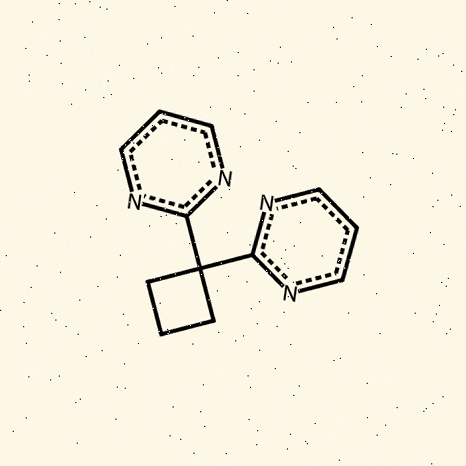 c1cnc(C2(c3ncccn3)CCC2)nc1